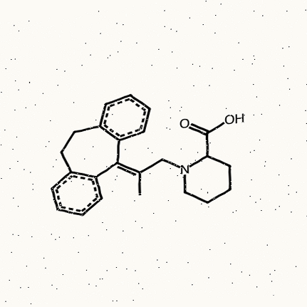 CC(CN1CCCCC1C(=O)O)=C1c2ccccc2CCc2ccccc21